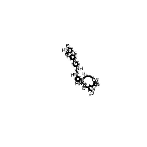 COc1cc2cc(n1)-c1cnn(C)c1OCCC[C@@H](C)CN1/C(=N/C2=O)Nc2ccc(NCCNC3CCN(c4cc(F)c([C@H]5CCC(=O)NC5=O)c(F)c4)CC3)cc21